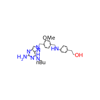 CCCCNc1nc(N)nc2cn(Cc3ccc(CNc4ccc(CCO)cc4)cc3OC)nc12